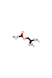 [CH2]C(=O)OCC(=C)C